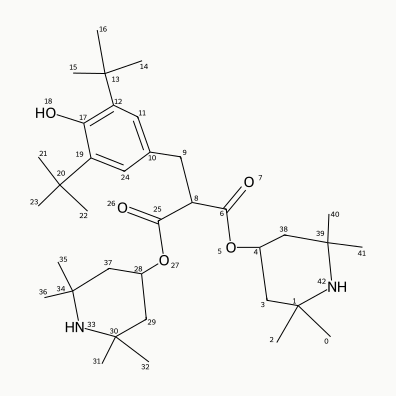 CC1(C)CC(OC(=O)C(Cc2cc(C(C)(C)C)c(O)c(C(C)(C)C)c2)C(=O)OC2CC(C)(C)NC(C)(C)C2)CC(C)(C)N1